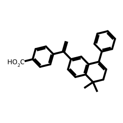 C=C(c1ccc(C(=O)O)cc1)c1ccc2c(c1)C(c1ccccc1)=CCC2(C)C